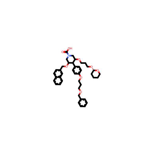 O=C(O)N1CC(OCCCO[C@H]2CCCCO2)C(c2ccc(OCCCOCc3ccccc3)cc2)C(OCc2ccc3ccccc3c2)C1